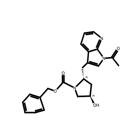 CC(=O)n1cc(C[C@@H]2C[C@@H](O)CN2C(=O)OCc2ccccc2)c2cccnc21